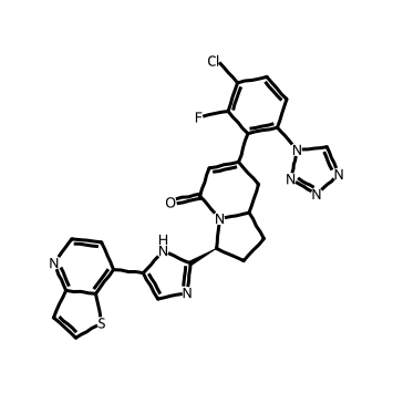 O=C1C=C(c2c(-n3cnnn3)ccc(Cl)c2F)CC2CC[C@@H](c3ncc(-c4ccnc5ccsc45)[nH]3)N12